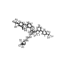 CC1Cc2c(-c3ccc(C(C)(C)C)cc3)cccc2C1[Si](C)(CCCCCCOC(C)(C)C)[C@H](C)c1cccc(-c2ccc(C(C)(C)C)cc2)c1CI